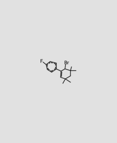 CC1(C)C=C(c2ccc(F)cc2)C(Br)C(C)(C)C1